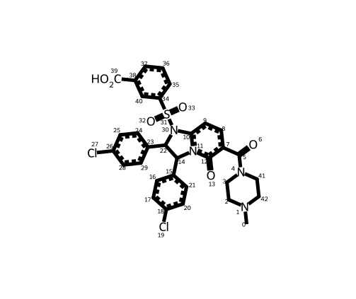 CN1CCN(C(=O)c2ccc3n(c2=O)C(c2ccc(Cl)cc2)C(c2ccc(Cl)cc2)N3S(=O)(=O)c2cccc(C(=O)O)c2)CC1